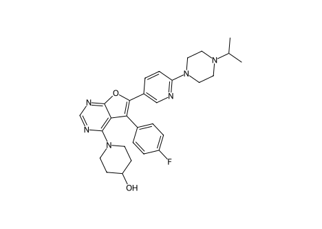 CC(C)N1CCN(c2ccc(-c3oc4ncnc(N5CCC(O)CC5)c4c3-c3ccc(F)cc3)cn2)CC1